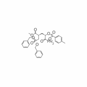 COC(=O)[C@@H](C[C@@H](OS(=O)(=O)c1ccc(C)cc1)C(=O)P)CP(=O)(OCc1ccccc1)OCc1ccccc1